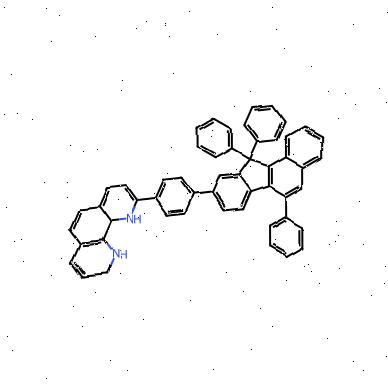 C1=CC2=C(NC1)C1NC(c3ccc(-c4ccc5c(c4)C(c4ccccc4)(c4ccccc4)c4c-5c(-c5ccccc5)cc5ccccc45)cc3)=CC=C1C=C2